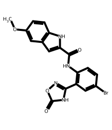 COc1ccc2[nH]c(C(=O)Nc3ccc(Br)cc3-c3noc(=O)[nH]3)cc2c1